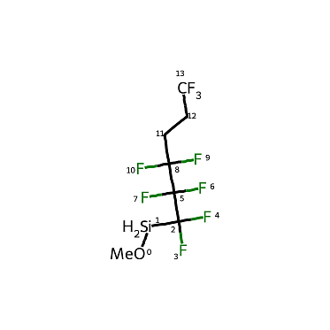 CO[SiH2]C(F)(F)C(F)(F)C(F)(F)CCC(F)(F)F